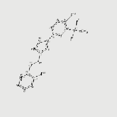 CC(F)(F)c1cc(-n2cc(COc3ncccc3F)nn2)ccc1F